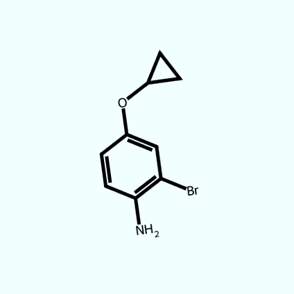 Nc1ccc(OC2CC2)cc1Br